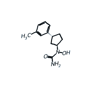 Cc1cccc([C@@H]2CC[C@@H](N(O)C(N)=O)C2)c1